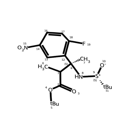 CC(C(=O)OC(C)(C)C)[C@](C)(N[S@+]([O-])C(C)(C)C)c1cc([N+](=O)[O-])ccc1F